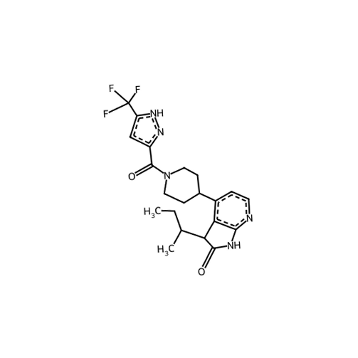 CCC(C)C1C(=O)Nc2nccc(C3CCN(C(=O)c4cc(C(F)(F)F)[nH]n4)CC3)c21